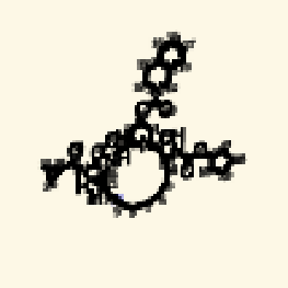 O=C(N[C@H]1CCCCC/C=C\[C@@H]2C[C@@]2(C(=O)NC(=O)C2CC2)NC(=O)[C@@H]2C[C@@H](OC(=O)N3CCc4ccccc4C3)CN2C1=O)OC1CCCC1